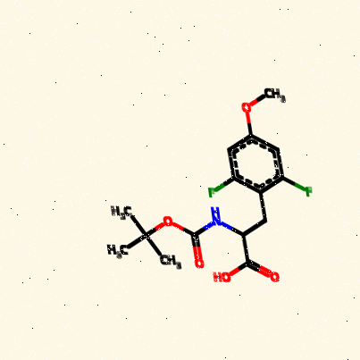 COc1cc(F)c(CC(NC(=O)OC(C)(C)C)C(=O)O)c(F)c1